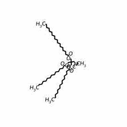 CCCCCCCCCCCCCCCCCC(=O)OCC(COC(=O)CCCCCCCCCCCCC)(COC(=O)CCCCCCCCCCCCC)CN(C)C